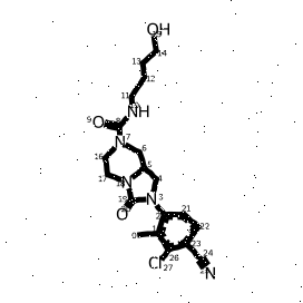 Cc1c(N2CC3CN(C(=O)NCCCCO)CCN3C2=O)ccc(C#N)c1Cl